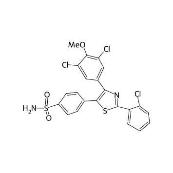 COc1c(Cl)cc(-c2nc(-c3ccccc3Cl)sc2-c2ccc(S(N)(=O)=O)cc2)cc1Cl